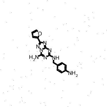 Nc1ccc(CNc2nc(N)n3nc(-c4ccco4)nc3n2)cc1